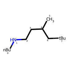 CCCCNCCC(C)CC(C)(C)C